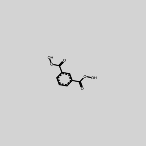 O=C(OO)c1cccc(C(=O)OO)c1